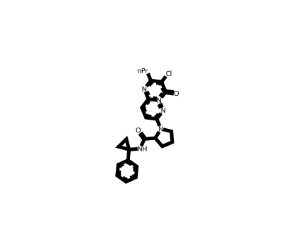 CCCc1nc2ccc(N3CCCC3C(=O)NC3(c4ccccc4)CC3)nn2c(=O)c1Cl